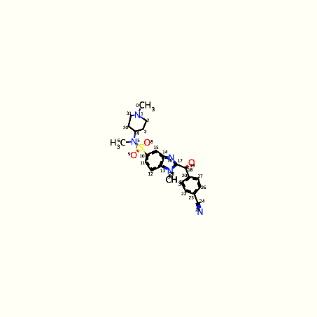 CN1CCC(N(C)S(=O)(=O)c2ccc3c(c2)nc(C(=O)c2ccc(C#N)cc2)n3C)CC1